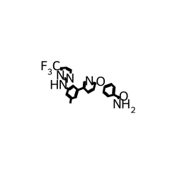 Cc1cc(Nc2nccc(C(F)(F)F)n2)cc(-c2ccc(Oc3ccc(C(N)=O)cc3)nc2)c1